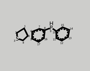 C1CCSC1.c1ccc(Pc2ccccc2)cc1